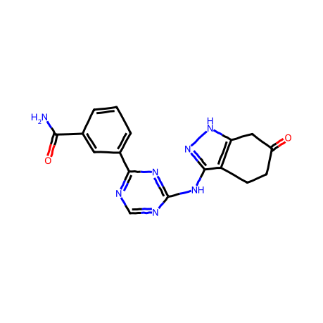 NC(=O)c1cccc(-c2ncnc(Nc3n[nH]c4c3CCC(=O)C4)n2)c1